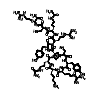 N=C(N)NCCC[C@H](NC(=O)[C@H](CS)NC(=O)[C@H](CCCNC(N)=O)NC(=O)[C@H](CCCNC(=N)N)NC(=O)[C@H](Cc1ccc(O)cc1)NC(=O)[C@@H]1CCCN1C(=O)[C@@H](CCCNC(N)=O)NC(=O)[C@H](CCCCN)NC(=O)[C@H](CCCNC(=N)N)NC(=O)[C@H](Cc1ccc(O)cc1)NC(=O)[C@@H](N)CS)C(N)=O